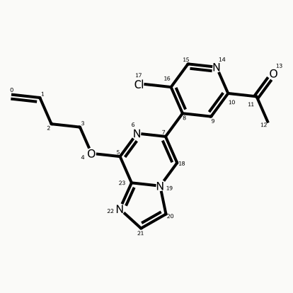 C=CCCOc1nc(-c2cc(C(C)=O)ncc2Cl)cn2ccnc12